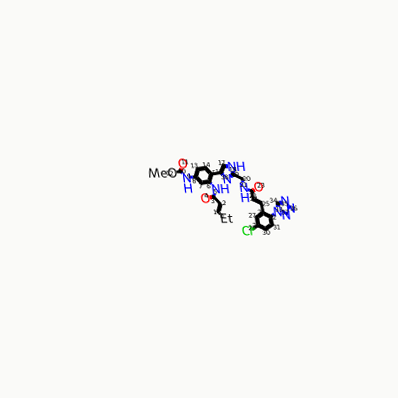 CCC=CC(=O)Nc1cc(NC(=O)OC)ccc1-c1c[nH]c(CNC(=O)/C=C/c2cc(Cl)ccc2-n2cnnn2)n1